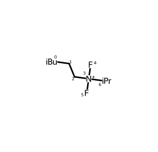 CCC(C)CC[N+](F)(F)C(C)C